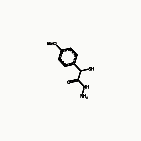 COc1ccc(C(S)C(=O)NN)cc1